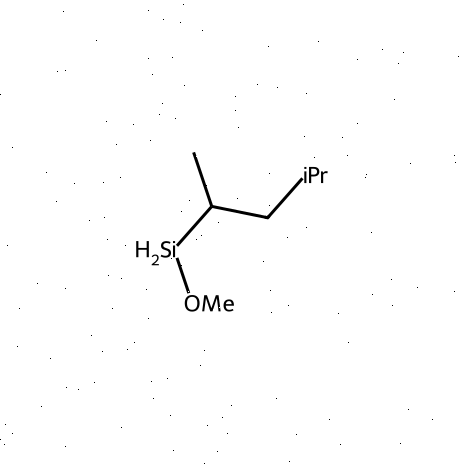 CO[SiH2]C(C)CC(C)C